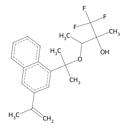 C=C(C)c1cc(C(C)(C)OC(C)C(C)(O)C(F)(F)F)c2ccccc2c1